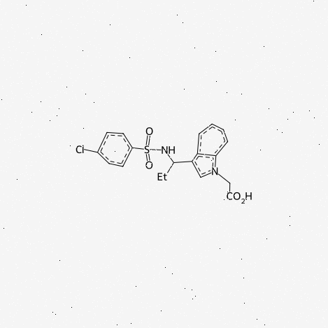 CCC(NS(=O)(=O)c1ccc(Cl)cc1)c1cn(CC(=O)O)c2ccccc12